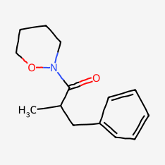 CC(Cc1ccccc1)C(=O)N1CCCCO1